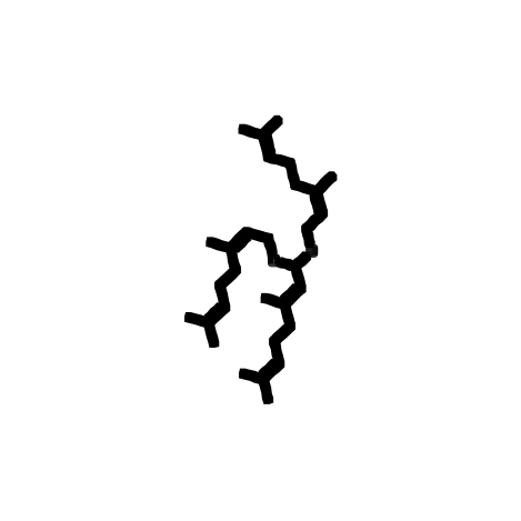 CC(C)=CCC/C(C)=C\COC(/C=C(\C)CCC=C(C)C)OC/C=C(/C)CCC=C(C)C